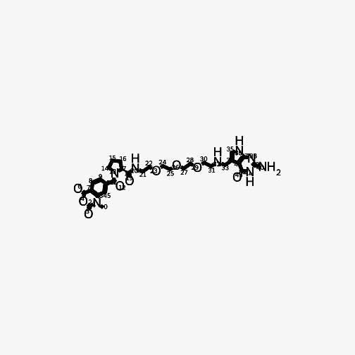 Cn1c(=O)oc(=O)c2ccc(C(=O)N3CCC[C@H]3C(=O)NCCOCCOCCOCCNCc3c[nH]c4nc(N)[nH]c(=O)c34)cc21